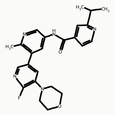 Cc1ncc(NC(=O)c2ccnc(C(C)C)c2)cc1-c1cnc(F)c(N2CCOCC2)c1